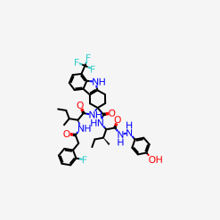 CCC(C)[C@H](NC(=O)Cc1ccccc1F)C(=O)N[C@]1(C(=O)NC(C(=O)NNc2ccc(O)cc2)[C@@H](C)CC)CCc2[nH]c3c(C(F)(F)F)cccc3c2C1